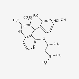 CCOC(=O)C1=C(C)Nc2ccnc(OC(C)CN(C)C)c2C1c1ccccc1C(F)(F)F.Cl.Cl